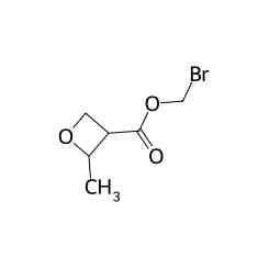 CC1OCC1C(=O)OCBr